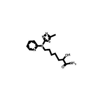 Cc1nnc(N(CCCCCC(O)C(N)=O)c2ccccn2)s1